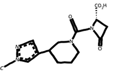 Cn1cc(C2CCCN(C(=O)N3C(=O)C[C@H]3C(=O)O)C2)cn1